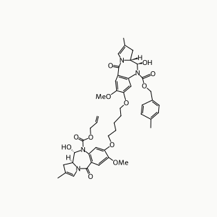 C=CCOC(=O)N1c2cc(OCCCCCOc3cc4c(cc3OC)C(=O)N3C=C(C)C[C@@H]3[C@@H](O)N4C(=O)OCc3ccc(C)cc3)c(OC)cc2C(=O)N2C=C(C)C[C@H]2[C@@H]1O